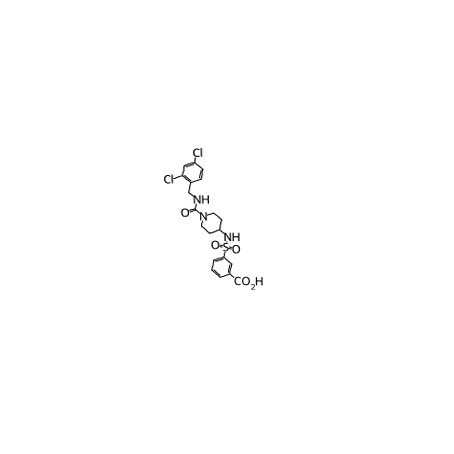 O=C(O)c1cccc(S(=O)(=O)NC2CCN(C(=O)NCc3ccc(Cl)cc3Cl)CC2)c1